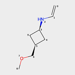 C=CN[C@H]1C[C@@H](COC)C1